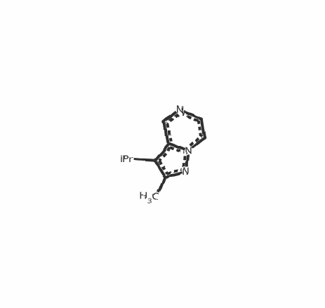 Cc1nn2ccncc2c1C(C)C